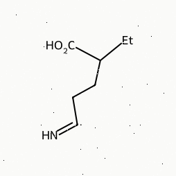 CCC(CC[C]=N)C(=O)O